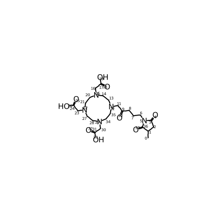 CC1CC(=O)N(CCCC(=O)CN2CCN(CC(=O)O)CCN(CC(=O)O)CCN(CC(=O)O)CC2)C1=O